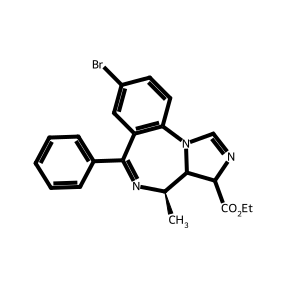 CCOC(=O)C1N=CN2c3ccc(Br)cc3C(c3ccccc3)=N[C@H](C)C12